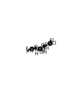 O=C(COc1ccc(Cl)c(Cl)c1)NC12CCC(NC(=O)c3ccc(C(F)F)nc3)(CC1)C[C@@H]2O